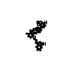 CCCCc1nc2c(C)ccc(OCCCN3CNC4C=CC=CC43)c2n1Cc1ccc(-c2ccccc2OC(=O)O)cc1